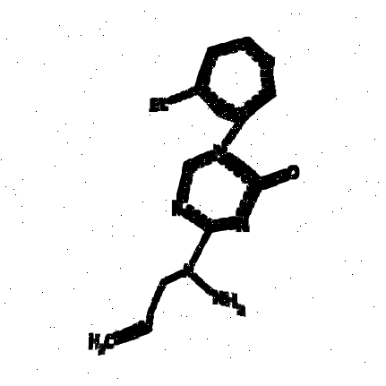 C=CCN(N)c1ncn(-c2ccccc2CC)c(=O)n1